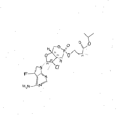 CC(C)OC(=O)[C@H](C)CCOP1(=O)C[C@@H]2[C@@H](CO1)O[C@@H](n1cc(F)c3c(N)ncnc31)[C@]2(C)Cl